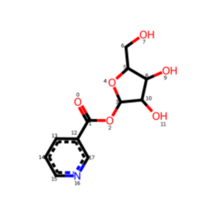 O=C(OC1OC(CO)C(O)C1O)c1cccnc1